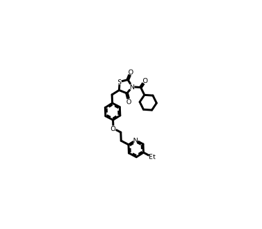 CCc1ccc(CCOc2ccc(CC3SC(=O)N(C(=O)C4CCCCC4)C3=O)cc2)nc1